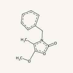 COc1oc(=O)n(Cc2ccccc2)c1C